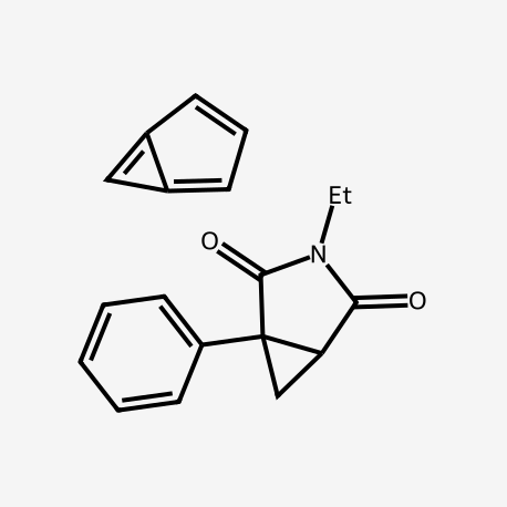 CCN1C(=O)C2CC2(c2ccccc2)C1=O.c1cc2cc-2c1